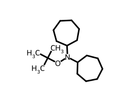 CC(C)(C)ON(C1CCCCCC1)C1CCCCCC1